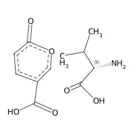 CC(C)[C@H](N)C(=O)O.O=C(O)c1ccc(=O)oc1